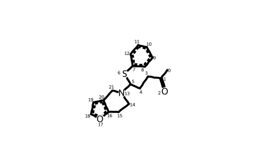 CC(=O)CCC(Sc1ccccc1)N1CCc2occc2C1